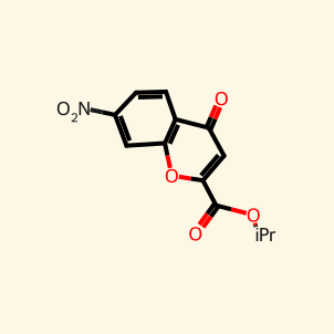 CC(C)OC(=O)c1cc(=O)c2ccc([N+](=O)[O-])cc2o1